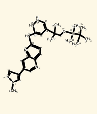 Cn1cc(-c2cnc3ccc(NC4=CC(C(C)(C)CO[Si](C)(C)C(C)(C)C)=CNN4)nc3c2)cn1